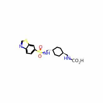 O=C(O)NC[C@H]1CC[C@H](CNS(=O)(=O)c2ccc3ncsc3c2)CC1